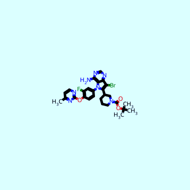 Cc1ccnc(Oc2ccc(-n3c(C4CCCN(C(=O)OC(C)(C)C)C4)c(Br)c4ncnc(N)c43)cc2F)n1